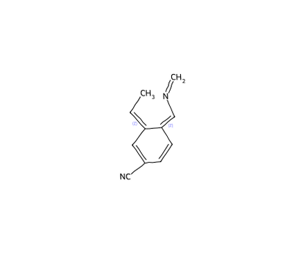 C=N/C=c1/ccc(C#N)c/c1=C/C